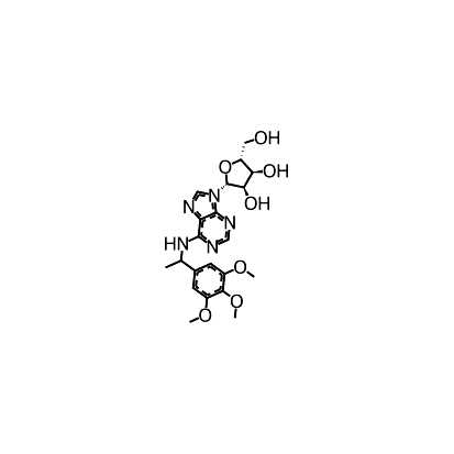 COc1cc(C(C)Nc2ncnc3c2ncn3[C@@H]2O[C@H](CO)[C@@H](O)[C@H]2O)cc(OC)c1OC